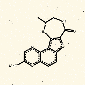 COc1cnc2c(ccc3sc4c(c32)NC(C)CNC4=O)n1